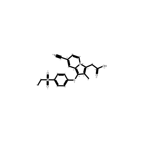 CCS(=O)(=O)c1ccc(Sc2c(C)c(CC(=O)O)n3ccc(C#N)cc23)cc1